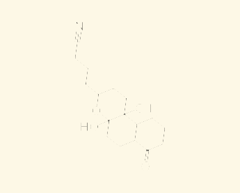 CC12CCC(CCCC#N)OC1(O)CCC1C(=O)CCCC12